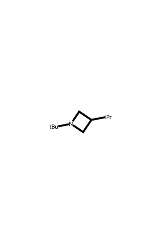 CC(C)C1CN(C(C)(C)C)C1